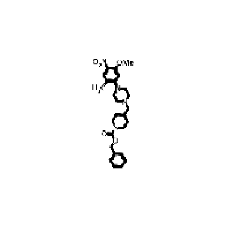 COc1cc(N2CCN(CC3CCN(C(=O)OCc4ccccc4)CC3)CC2)c(C)cc1[N+](=O)[O-]